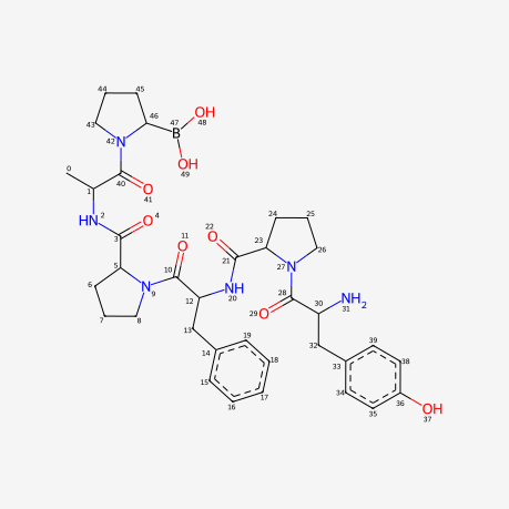 CC(NC(=O)C1CCCN1C(=O)C(Cc1ccccc1)NC(=O)C1CCCN1C(=O)C(N)Cc1ccc(O)cc1)C(=O)N1CCCC1B(O)O